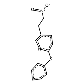 O=[N+]([O-])CCc1ccc(Sc2ccccc2)nc1